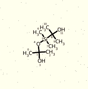 CC(C)(O)O[Si](C)(C)C(C)(C)O